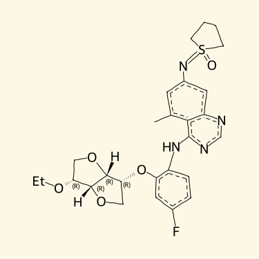 CCO[C@@H]1CO[C@H]2[C@@H]1OC[C@H]2Oc1cc(F)ccc1Nc1ncnc2cc(N=S3(=O)CCCC3)cc(C)c12